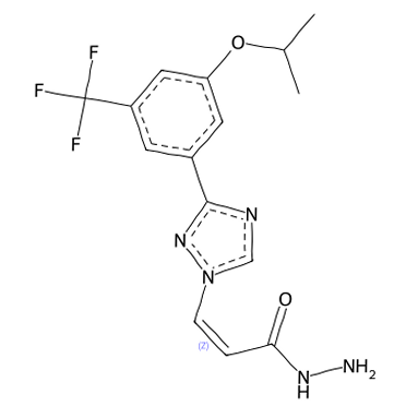 CC(C)Oc1cc(-c2ncn(/C=C\C(=O)NN)n2)cc(C(F)(F)F)c1